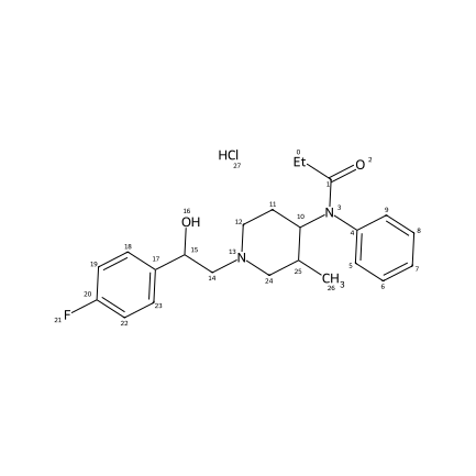 CCC(=O)N(c1ccccc1)C1CCN(CC(O)c2ccc(F)cc2)CC1C.Cl